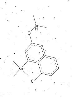 C[SiH](C)Oc1c[c]([Sn]([CH3])([CH3])[CH3])c2c(Cl)cccc2c1